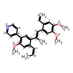 C=Cc1cc(OC)c(OC)cc1/C=C(\C)c1cc(-c2ccncc2)c(OC)cc1/C=C\C